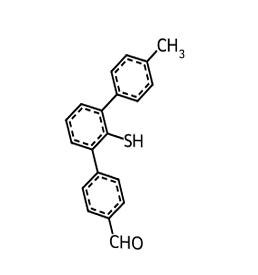 Cc1ccc(-c2cccc(-c3ccc(C=O)cc3)c2S)cc1